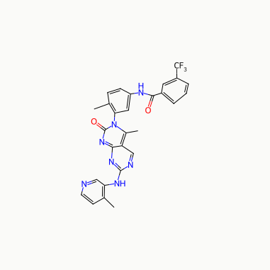 Cc1ccncc1Nc1ncc2c(C)n(-c3cc(NC(=O)c4cccc(C(F)(F)F)c4)ccc3C)c(=O)nc2n1